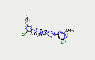 CSc1nc(Cl)cc(N2CC[N+]3(CC2)CC[N+]2(CCN(c4nc(C)nc(Cl)c4C(=O)O)CC2)CC3)n1